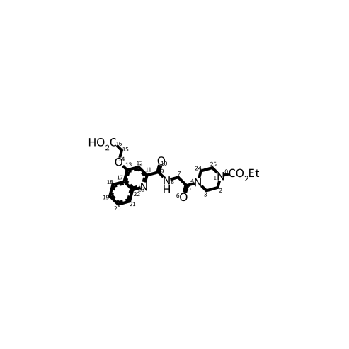 CCOC(=O)N1CCN(C(=O)CNC(=O)c2cc(OCC(=O)O)c3ccccc3n2)CC1